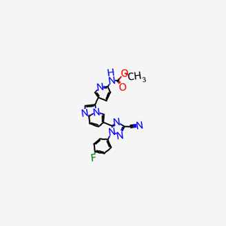 COC(=O)Nc1ccc(-c2cnc3ccc(-c4nc(C#N)nn4-c4ccc(F)cc4)cn23)cn1